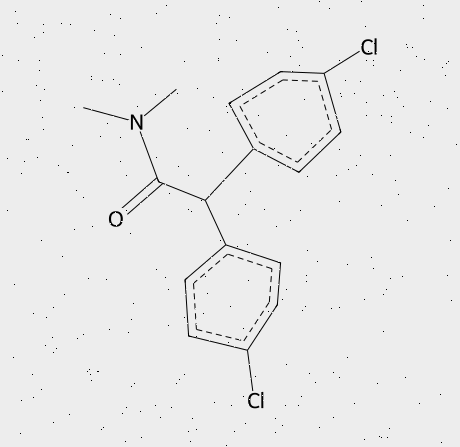 CN(C)C(=O)C(c1ccc(Cl)cc1)c1ccc(Cl)cc1